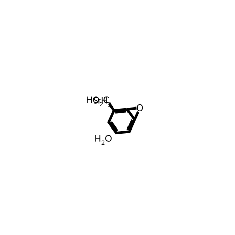 O.O=C(O)c1cccc2c1O2.[SrH2]